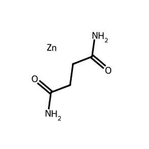 NC(=O)CCC(N)=O.[Zn]